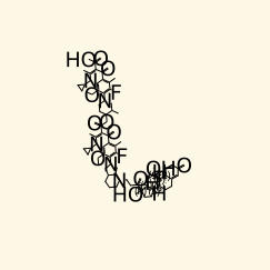 COc1c(N2CCC(OC(=O)c3c(C)n(C4CC4)c4c(OC)c(N5CC6CCCN(CCC(=O)[C@@]7(O)CC[C@H]8[C@@H]9CCC%10=CC(=O)C=C[C@]%10(C)[C@H]9[C@@H](O)C[C@@]87C)C6C5)c(F)c(C)c4c3=O)C(C)C2)c(F)c(C)c2c(=O)c(C(=O)O)c(C)n(C3CC3)c12